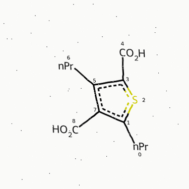 CCCc1sc(C(=O)O)c(CCC)c1C(=O)O